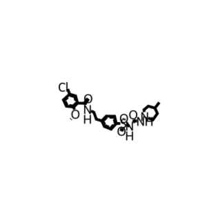 COc1ccc(Cl)cc1C(=O)NCCc1ccc(S(=O)(=O)NC(=O)NN2CCC(C)CC2)cc1